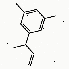 [CH2]C(C=C)c1cc(C)cc(I)c1